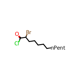 CCCCCCCCCCC(Br)C(=O)Cl